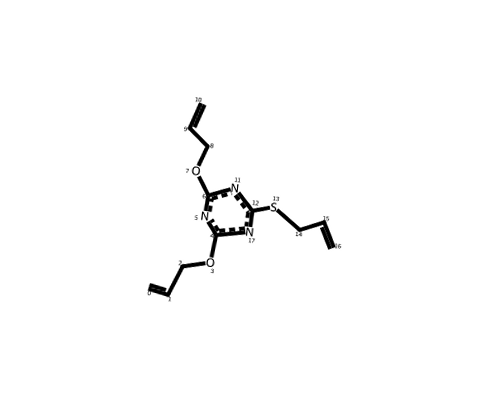 C=CCOc1nc(OCC=C)nc(SCC=C)n1